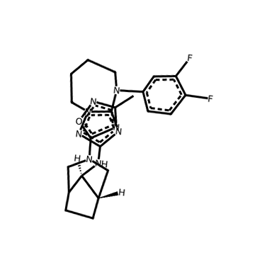 Cc1noc(N2CC3CC[C@@H](C2)[C@@H]3Nc2nc3n(n2)CCCCN3c2ccc(F)c(F)c2)n1